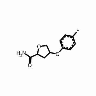 NC(=O)C1[CH]C(Oc2ccc(F)cc2)CO1